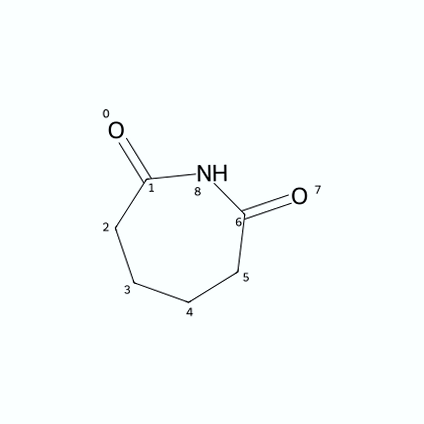 O=C1CCCCC(=O)N1